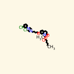 CCCCCC(=O)OC(C)N1C(=O)CCc2ccc(OCCCCN3CCN(c4cccc(Cl)c4Cl)CC3)cc21